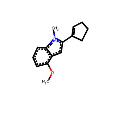 COc1cccc2c1cc(C1=CCCC1)n2C